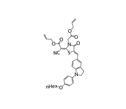 C=CCOC(=O)Cn1c(=O)/c(=C/c2ccc3c(c2)CCN3c2ccc(OCCCCCC)cc2)s/c1=C(\C#N)C(=O)OCC=C